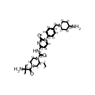 CC[C@@H]1CN(C(=O)C(C)(C)N)CCN1C(=O)Nc1ccn(-c2ccc(CN3CCC(N)CC3)cc2)c(=O)n1